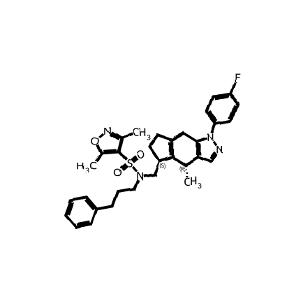 Cc1noc(C)c1S(=O)(=O)N(CCCc1ccccc1)C[C@H]1CCC2=C1[C@@H](C)c1cnn(-c3ccc(F)cc3)c1C2